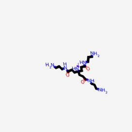 NCCCNC(=O)CCC(CCC(=O)NCCCN)(CCC(=O)NCCCN)NI